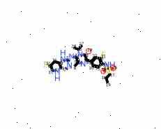 C=N/C(=N\c1c(C)nc(-c2ccc(NS(=O)(=O)CCC)c(F)c2)c(=O)n1C(C)C)N[C@@H]1CNC[C@@H](F)C1